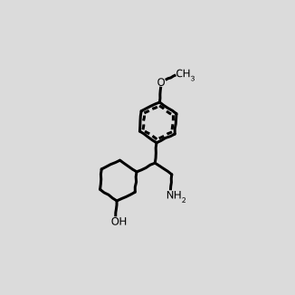 COc1ccc(C(CN)C2CCCC(O)C2)cc1